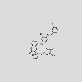 CC(C)C(COCCC1(c2cc3c(Nc4ccc(OCc5cccc(F)c5)c(Br)c4)ncnc3cc2F)CC=CO1)=S(=O)=O